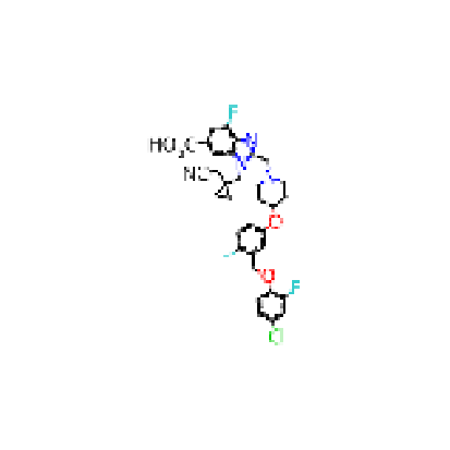 N#CCC1(Cn2c(CN3CCC(Oc4ccc(F)c(COc5ccc(Cl)cc5F)c4)CC3)nc3c(F)cc(C(=O)O)cc32)CC1